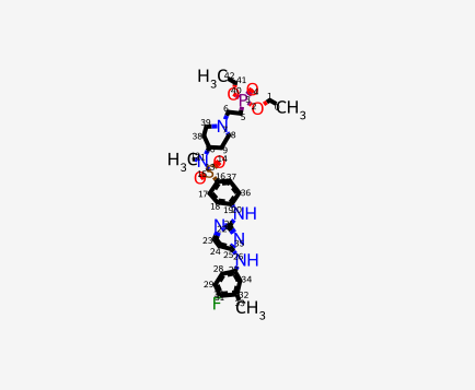 CCOP(=O)(CCN1CCC(N(C)S(=O)(=O)c2ccc(Nc3nccc(Nc4ccc(F)c(C)c4)n3)cc2)CC1)OCC